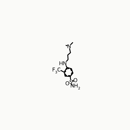 CN(C)CCCNc1ccc(S(N)(=O)=O)cc1C(F)(F)F